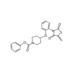 C=C1SC(=O)N(c2ccccc2OC2CCN(C(=O)Oc3ccccc3)CC2)C1=O